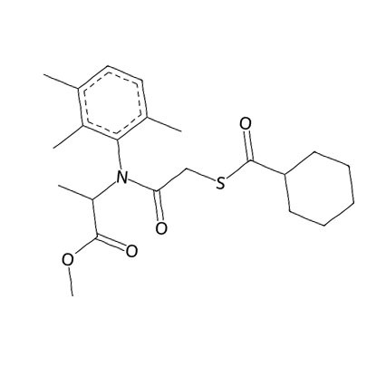 COC(=O)C(C)N(C(=O)CSC(=O)C1CCCCC1)c1c(C)ccc(C)c1C